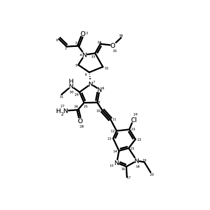 C=CC(=O)N1C[C@@H](n2nc(C#Cc3cc4nc(C)n(CC)c4cc3Cl)c(C(N)=O)c2NC)C/C1=C\OC